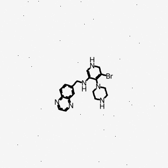 BrC1=C(N2CCNCC2)C(NCc2ccc3nccnc3c2)=CNC1